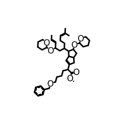 CC=CC(CC(CCC=C(C)C)C1C(OC2CCCCO2)CC2CC(C(CCCCOCc3ccccc3)C(=O)OC)=CC21)OC1CCCCO1